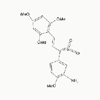 COc1cc(OC)c(C=CC(c2ccc(OC)c(N)c2)=S(=O)=O)c(OC)c1